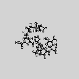 CC(C)[C@H](NC(=O)[C@@H](NC(=O)[C@H](C)NC(=O)[C@@H](NC(=O)[C@@H]1CCCN1C(=O)[C@H](CCC(=O)O)NC(=O)[C@H](C)NC(=O)[C@H](C)NC(=O)[C@@H]1CCCN1)C(C)C)C(C)C)C(=O)O